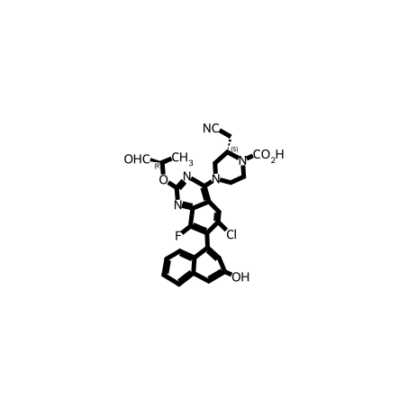 C[C@H](C=O)Oc1nc(N2CCN(C(=O)O)[C@@H](CC#N)C2)c2cc(Cl)c(-c3cc(O)cc4ccccc34)c(F)c2n1